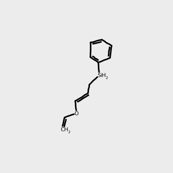 C=COC=CC[SiH2]c1ccccc1